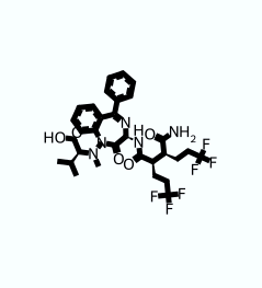 CC(C)[C@@H](C(=O)O)N(C)N1C(=O)[C@@H](NC(=O)[C@H](CCC(F)(F)F)[C@H](CCC(F)(F)F)C(N)=O)N=C(c2ccccc2)c2ccccc21